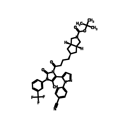 Cc1c(-c2ccnn2-c2ccc(C#N)cc2)n(C(=O)CCC[C@H]2C[C@@H]3CN(C(=O)OC(C)(C)C)C[C@@H]3C2)c(=O)n1-c1cccc(C(F)(F)F)c1